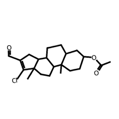 CC(=O)OC1CCC2(C)C(CCC3C4CC(C=O)=C(Cl)C4(C)CCC32)C1